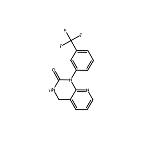 O=C1NCc2cccnc2N1c1cccc(C(F)(F)F)c1